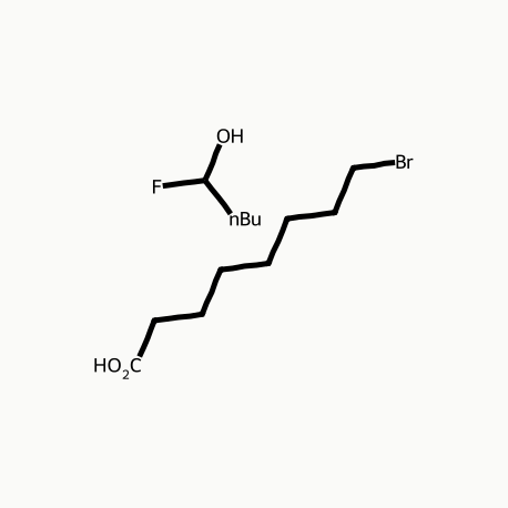 CCCCC(O)F.O=C(O)CCCCCCCBr